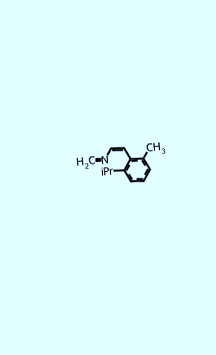 C=N/C=C\c1c(C)cccc1C(C)C